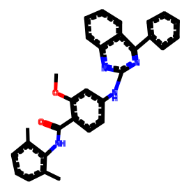 COc1cc(Nc2nc(-c3ccccc3)c3ccccc3n2)ccc1C(=O)Nc1c(C)cccc1C